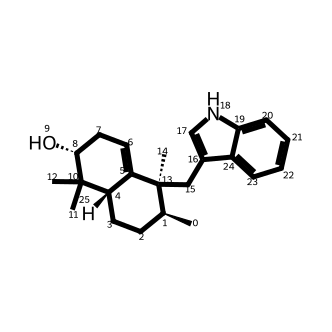 C[C@H]1CC[C@H]2C(=CC[C@@H](O)C2(C)C)[C@@]1(C)Cc1c[nH]c2ccccc12